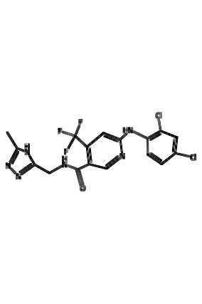 Cc1nnc(CNC(=O)c2cnc(Nc3ccc(Cl)cc3Cl)cc2C(F)(F)F)[nH]1